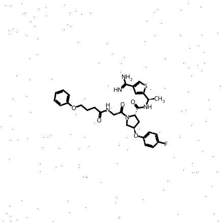 C[C@@H](NC(=O)[C@@H]1C[C@@H](Oc2ccc(F)cc2)CN1C(=O)CNC(=O)CCCOc1ccccc1)c1cc(C(=N)N)cs1